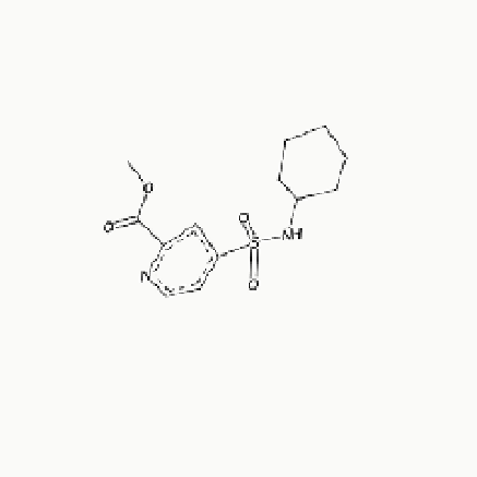 COC(=O)c1cc(S(=O)(=O)NC2CCCCC2)ccn1